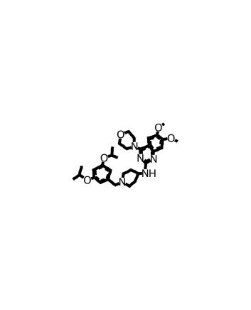 COc1cc2nc(NC3CCN(Cc4cc(OC(C)C)cc(OC(C)C)c4)CC3)nc(N3CCOCC3)c2cc1OC